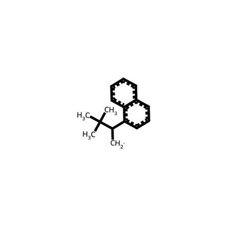 [CH2]C(c1cccc2ccccc12)C(C)(C)C